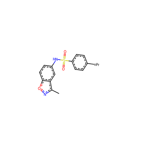 CCCc1ccc(S(=O)(=O)Nc2ccc3onc(C)c3c2)cc1